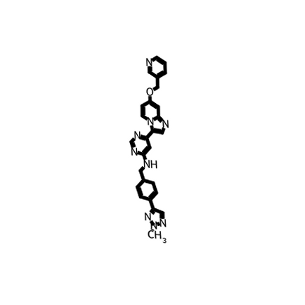 Cn1ncc(C2=CCC(CNc3cc(-c4cnc5cc(OCc6cccnc6)ccn45)ncn3)C=C2)n1